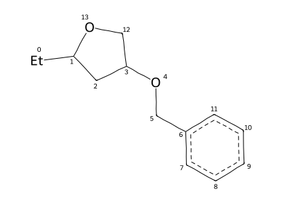 CCC1CC(OCc2ccccc2)CO1